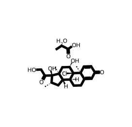 CCC(=O)O.C[C@H]1C[C@H]2[C@@H]3CCC4=CC(=O)C=C[C@]4(C)[C@@]3(Cl)[C@@H](O)C[C@]2(C)[C@@]1(O)C(=O)CO.O